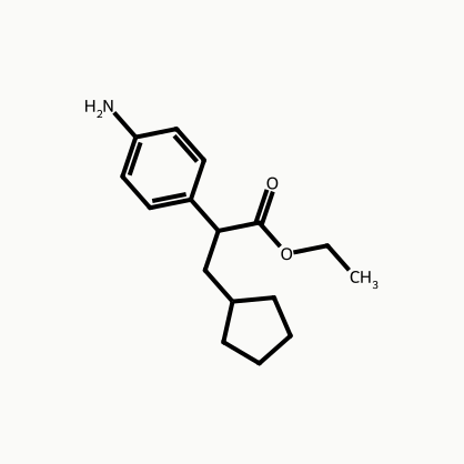 CCOC(=O)C(CC1CCCC1)c1ccc(N)cc1